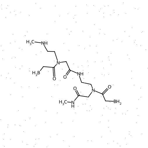 BCC(=O)N(CCNC(=O)CN(CCNC)C(=O)CB)CC(=O)NC